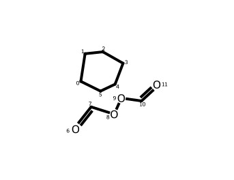 C1CCCCC1.O=COOC=O